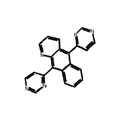 c1ccc2c(-c3ccncn3)c3ncccc3c(-c3ccncn3)c2c1